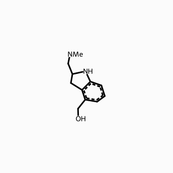 CNCC1Cc2c(CO)cccc2N1